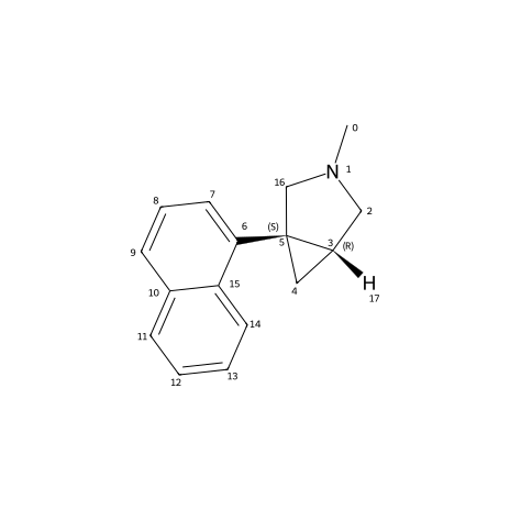 CN1C[C@@H]2C[C@]2(c2cccc3ccccc23)C1